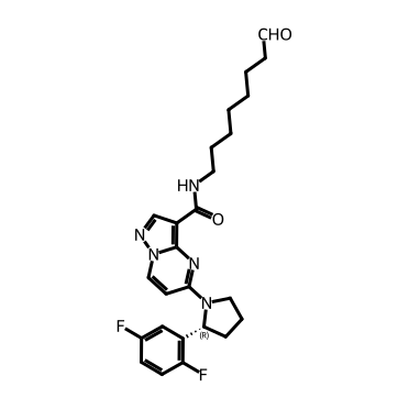 O=CCCCCCCCNC(=O)c1cnn2ccc(N3CCC[C@@H]3c3cc(F)ccc3F)nc12